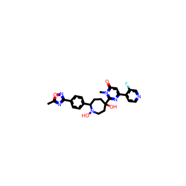 Cc1nc(-c2ccc(C3CCC(O)(c4nc(-c5ccncc5F)cc(=O)n4C)CCN3O)cc2)no1